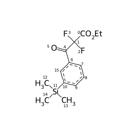 CCOC(=O)C(F)(F)C(=O)c1cccc([Si](C)(C)C)c1